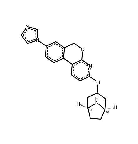 c1cn(-c2ccc3c(c2)COc2nc(OC4C[C@H]5CC[C@@H](C4)N5)ccc2-3)cn1